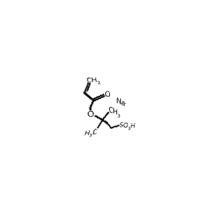 C=CC(=O)OC(C)(C)CS(=O)(=O)O.[Na]